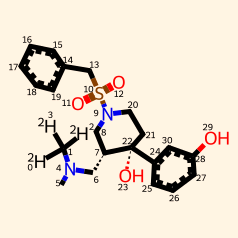 [2H]C([2H])([2H])N(C)C[C@@H]1CN(S(=O)(=O)Cc2ccccc2)CC[C@@]1(O)c1cccc(O)c1